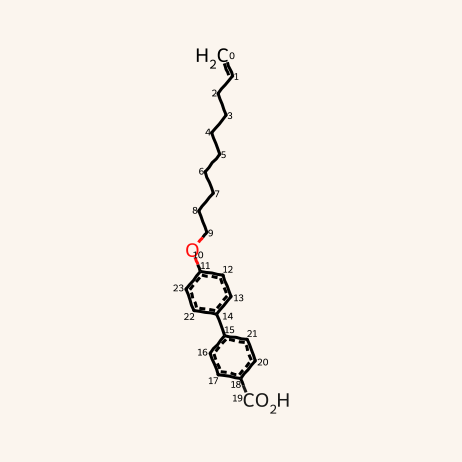 C=CCCCCCCCCOc1ccc(-c2ccc(C(=O)O)cc2)cc1